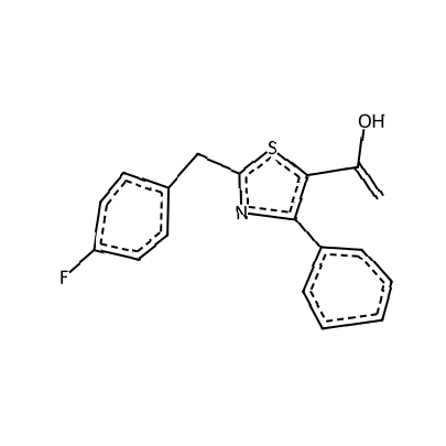 C=C(O)c1sc(Cc2ccc(F)cc2)nc1-c1ccccc1